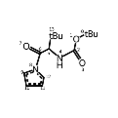 CC(C)(C)OC(=O)NC(C(=O)n1cccc1)C(C)(C)C